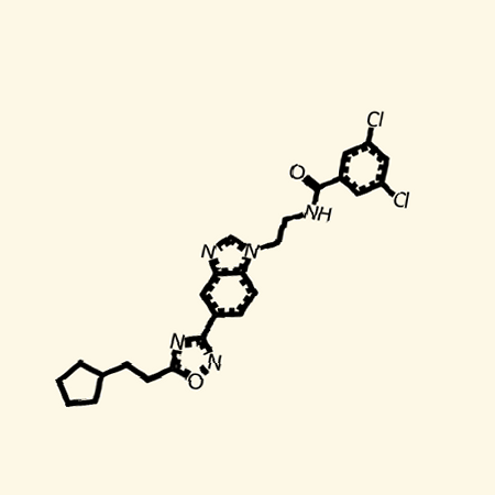 O=C(NCCn1cnc2cc(-c3noc(CCC4CCCC4)n3)ccc21)c1cc(Cl)cc(Cl)c1